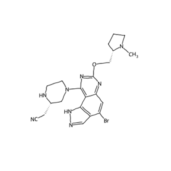 CN1CCC[C@H]1COc1nc(N2CCN[C@@H](CC#N)C2)c2c(cc(Br)c3cn[nH]c32)n1